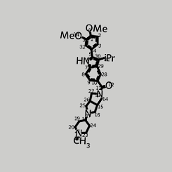 COc1ccc(-c2[nH]c3ccc(C(=O)N4CC5CN(C6CCN(C)CC6)CC5C4)cc3c2C(C)C)cc1OC